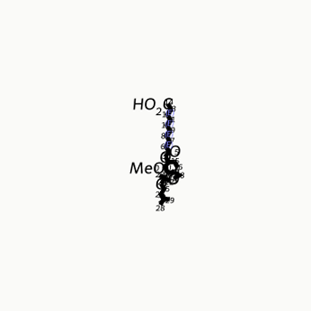 CO[C@@H]1C(OC(=O)/C=C/C=C/C=C/C=C/C(=O)O)CC[C@]2(CO2)[C@H]1C(C)(C)OCC=C(C)C